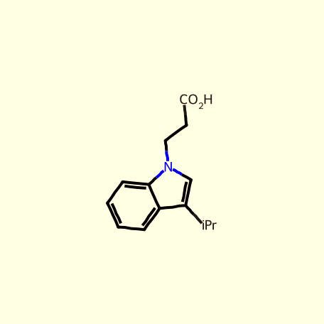 CC(C)c1cn(CCC(=O)O)c2ccccc12